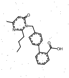 CCCCc1nc(C)cc(=O)n1Cc1ccc(-c2ccccc2C(=O)O)cc1